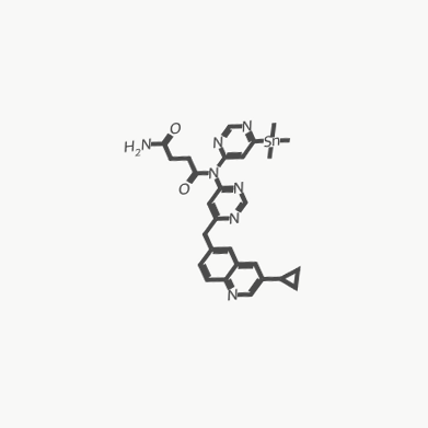 [CH3][Sn]([CH3])([CH3])[c]1cc(N(C(=O)CCC(N)=O)c2cc(Cc3ccc4ncc(C5CC5)cc4c3)ncn2)ncn1